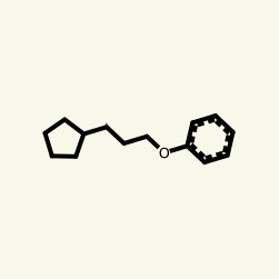 [CH](CCOc1ccccc1)C1CCCC1